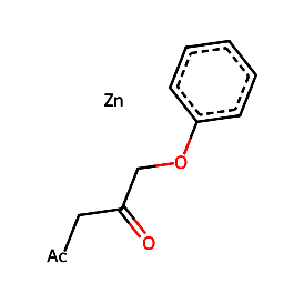 CC(=O)CC(=O)COc1ccccc1.[Zn]